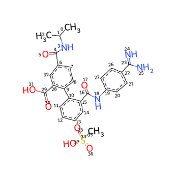 CC(C)NC(=O)c1ccc(-c2ccccc2C(=O)Nc2ccc(C(=N)N)cc2)c(C(=O)O)c1.CS(=O)(=O)O